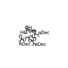 CCCCCCCCCCCC(=O)OCC(COC(=O)CCCCCCCCCCC)OC(=O)CCCCCCCCCCC.OP(O)O